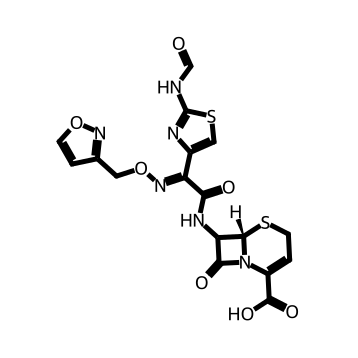 O=CNc1nc(C(=NOCc2ccon2)C(=O)NC2C(=O)N3C(C(=O)O)=CCS[C@@H]23)cs1